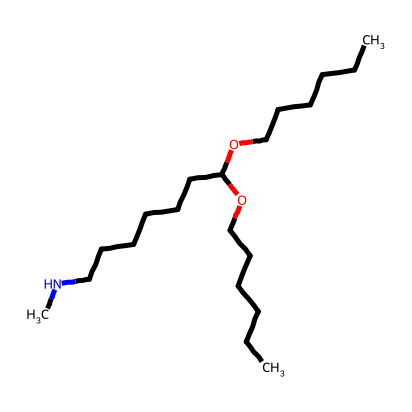 CCCCCCOC(CCCCCCNC)OCCCCCC